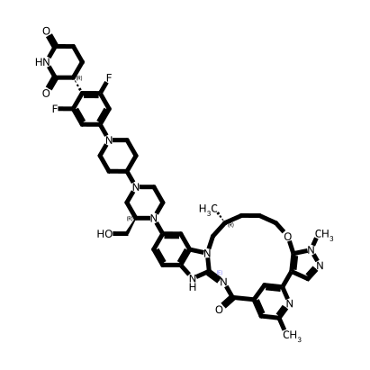 Cc1cc2cc(n1)-c1cnn(C)c1OCCC[C@@H](C)CN1/C(=N/C2=O)Nc2ccc(N3CCN(C4CCN(c5cc(F)c([C@H]6CCC(=O)NC6=O)c(F)c5)CC4)C[C@@H]3CO)cc21